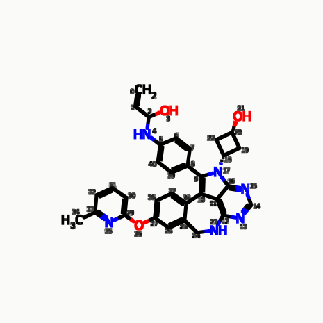 C=CC(O)Nc1ccc(-c2c3c4c(ncnc4n2[C@H]2C[C@H](O)C2)NCc2cc(Oc4cccc(C)n4)ccc2-3)cc1